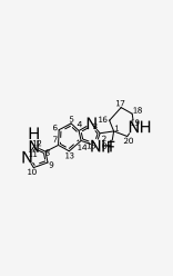 FC1(c2nc3ccc(-c4ccn[nH]4)cc3[nH]2)CCCNC1